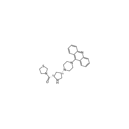 O=C([C@@H]1C[C@H](N2CCN(c3c4ccccc4nc4ccccc34)CC2)CN1)N1CCSC1